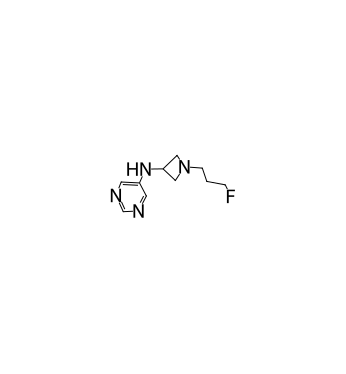 FCCCN1CC(Nc2cncnc2)C1